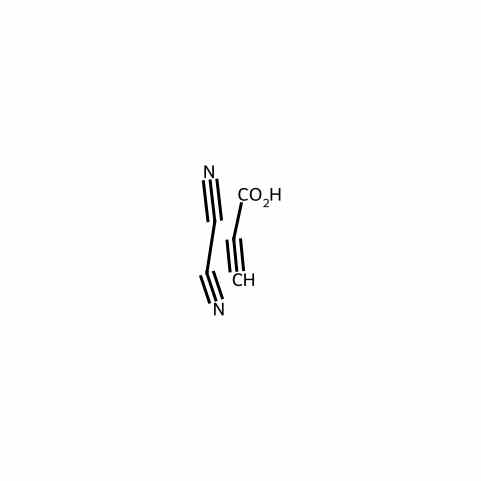 C#CC(=O)O.N#CC#N